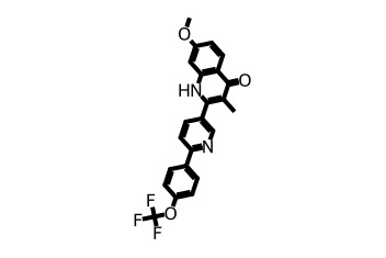 COc1ccc2c(=O)c(C)c(-c3ccc(-c4ccc(OC(F)(F)F)cc4)nc3)[nH]c2c1